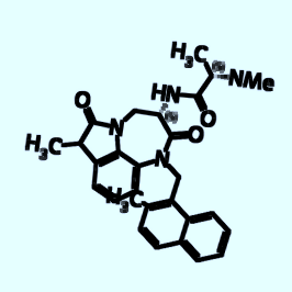 CN[C@@H](C)C(=O)N[C@H]1CN2C(=O)C(C)c3cccc(c32)N(Cc2c(C)ccc3ccccc23)C1=O